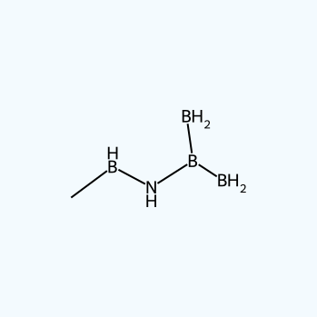 BB(B)NBC